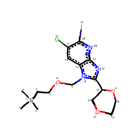 C[Si](C)(C)CCOCn1c(C2COCCO2)nc2nc(I)c(Cl)cc21